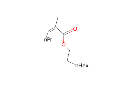 CCCC=C(C)C(=O)OCCCCCCCC